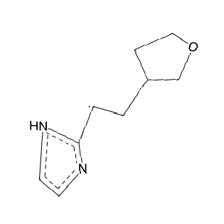 [CH](CC1CCOC1)c1ncc[nH]1